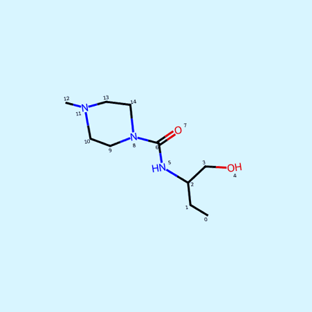 CCC(CO)NC(=O)N1CCN(C)CC1